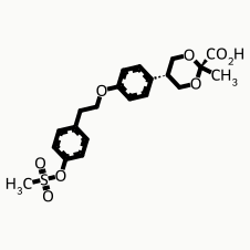 CS(=O)(=O)Oc1ccc(CCOc2ccc([C@H]3CO[C@](C)(C(=O)O)OC3)cc2)cc1